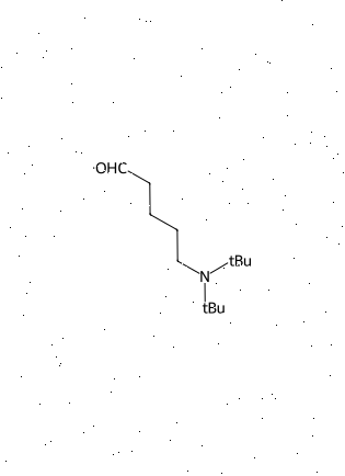 CC(C)(C)N(CCCC[C]=O)C(C)(C)C